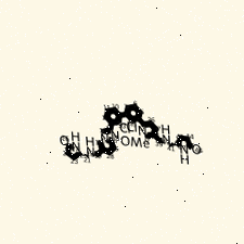 COc1nc(-c2cccc(-c3cccc(-c4cn5cc(CNC[C@@H]6CCC(=O)N6)ccc5n4)c3Cl)c2Cl)ccc1CNC[C@H]1CCC(=O)N1